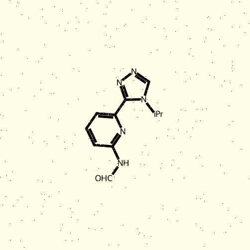 CC(C)n1cnnc1-c1cccc(NC=O)n1